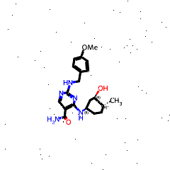 COc1ccc(CNc2ncc(C(N)=O)c(N[C@@H]3CC[C@@H](C)[C@H](O)C3)n2)cc1